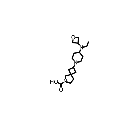 CCN(C1CCN(C2CC3(CCN(C(=O)O)C3)C2)CC1)C1COC1